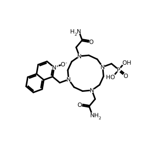 NC(=O)CN1CCN(Cc2c3ccccc3cc[n+]2[O-])CCN(CC(N)=O)CCN(CP(=O)(O)O)CC1